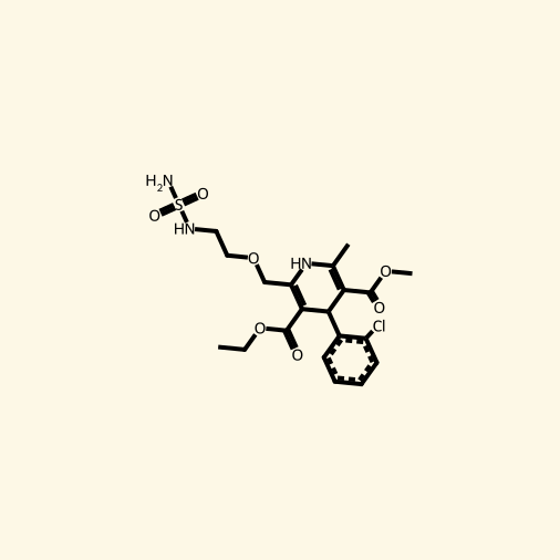 CCOC(=O)C1=C(COCCNS(N)(=O)=O)NC(C)=C(C(=O)OC)C1c1ccccc1Cl